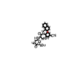 Cc1ccc2ccccc2c1CN1C(=O)C(NC(=O)CN(C)C(=O)OC(C)(C)C)CNc2cc(C#N)ccc21